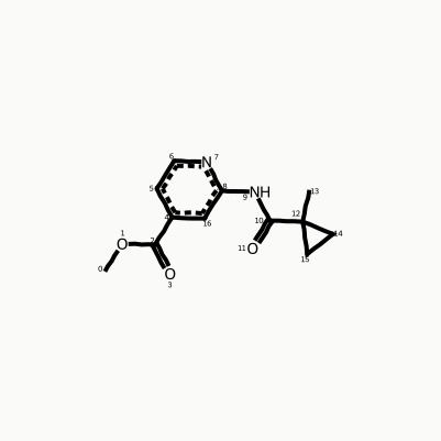 COC(=O)c1ccnc(NC(=O)C2(C)CC2)c1